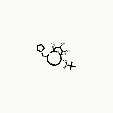 CC(C)(C)[S+]([O-])N[C@@H]1C/C=C\C[C@@H](CN2CCCC2)S[C@H]2O[C@H]1[C@H](O)[C@H](O)[C@H]2O